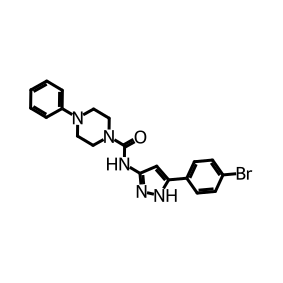 O=C(Nc1cc(-c2ccc(Br)cc2)[nH]n1)N1CCN(c2ccccc2)CC1